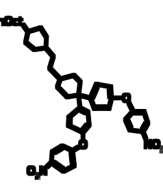 CCCCCCCCC1CCC(CCC2CCC(c3ccc(Oc4ccc([N+](=O)[O-])cc4)cc3)(c3ccc(Oc4ccc([N+](=O)[O-])cc4)cc3)CC2)CC1